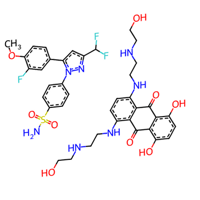 COc1ccc(-c2cc(C(F)F)nn2-c2ccc(S(N)(=O)=O)cc2)cc1F.O=C1c2c(O)ccc(O)c2C(=O)c2c(NCCNCCO)ccc(NCCNCCO)c21